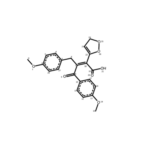 COc1ccc(CC(C(=O)c2ccc(OC)cc2)=C(C(=O)O)C2=CCOO2)cc1